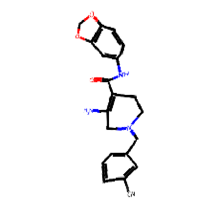 N#Cc1cccc(CN2CCC(C(=O)Nc3ccc4c(c3)OCO4)=C(N)C2)c1